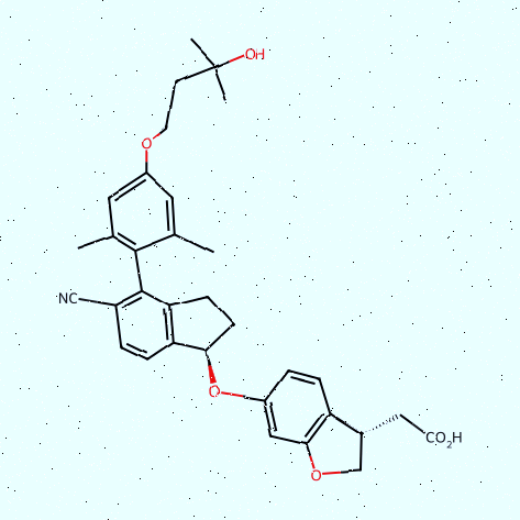 Cc1cc(OCCC(C)(C)O)cc(C)c1-c1c(C#N)ccc2c1CC[C@H]2Oc1ccc2c(c1)OC[C@H]2CC(=O)O